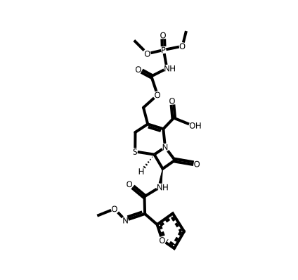 CO/N=C(\C(=O)N[C@@H]1C(=O)N2C(C(=O)O)=C(COC(=O)NP(=O)(OC)OC)CS[C@H]12)c1ccco1